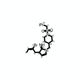 C/C=C(/Br)CC1C=CN(CC2CCN(S(=O)(=O)CC(C)C)CC2)C1=N